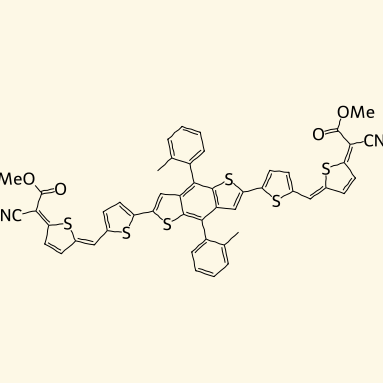 COC(=O)/C(C#N)=c1/cc/c(=C/c2ccc(-c3cc4c(-c5ccccc5C)c5sc(-c6ccc(/C=c7/cc/c(=C(\C#N)C(=O)OC)s7)s6)cc5c(-c5ccccc5C)c4s3)s2)s1